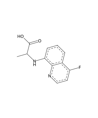 CC(Nc1cccc2c(F)ccnc12)C(=O)O